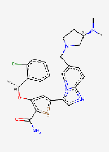 C[C@@H](Oc1cc(-c2cnc3ccc(CN4CC[C@@H](N(C)C)C4)cn23)sc1C(N)=O)c1ccccc1Cl